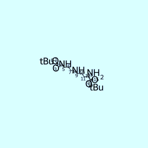 CC(C)(C)OC(=O)NCCCNCCCC(N)C(=O)OC(C)(C)C